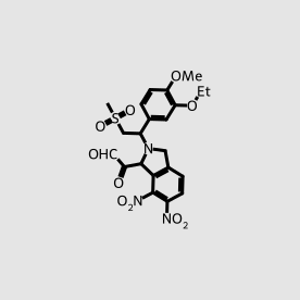 CCOc1cc(C(CS(C)(=O)=O)N2Cc3ccc([N+](=O)[O-])c([N+](=O)[O-])c3C2C(=O)C=O)ccc1OC